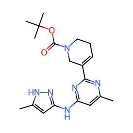 Cc1cc(Nc2cc(C)[nH]n2)nc(C2=CCCN(C(=O)OC(C)(C)C)C2)n1